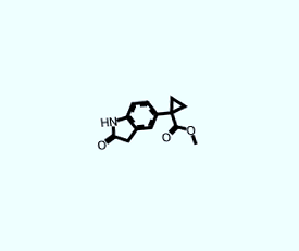 COC(=O)C1(c2ccc3c(c2)CC(=O)N3)CC1